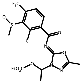 CCOC(=O)OC(C)n1nc(C)oc1=NC(=O)c1ccc(C(F)(F)F)c([S+](C)[O-])c1Cl